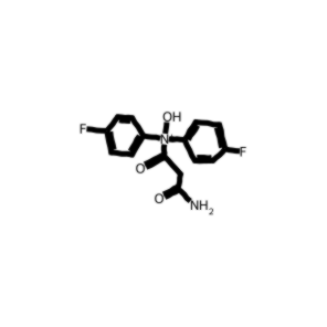 NC(=O)CC(=O)[N+](O)(c1ccc(F)cc1)c1ccc(F)cc1